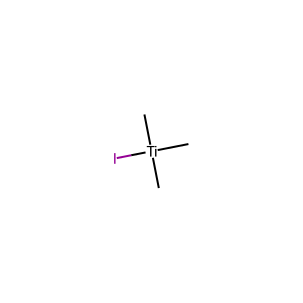 [CH3][Ti]([CH3])([CH3])[I]